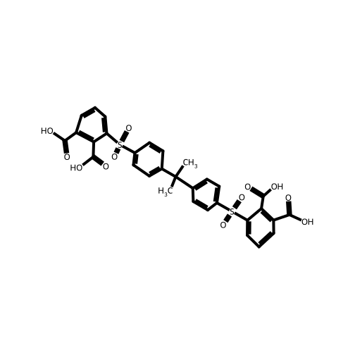 CC(C)(c1ccc(S(=O)(=O)c2cccc(C(=O)O)c2C(=O)O)cc1)c1ccc(S(=O)(=O)c2cccc(C(=O)O)c2C(=O)O)cc1